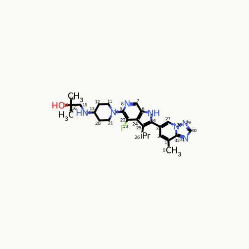 Cc1cc(-c2[nH]c3cnc(N4CCC(NCC(C)(C)O)CC4)c(F)c3c2C(C)C)cn2ncnc12